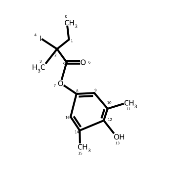 CCC(C)(I)C(=O)Oc1cc(C)c(O)c(C)c1